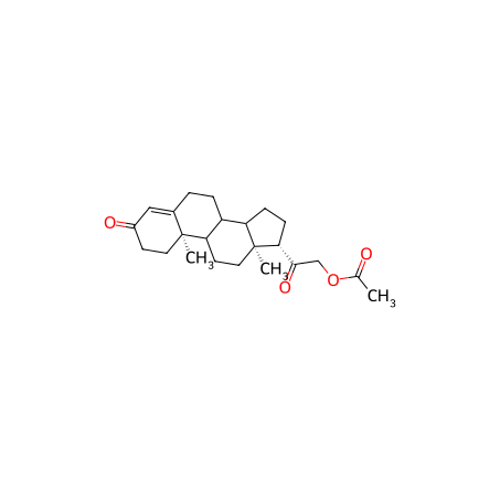 CC(=O)OCC(=O)[C@H]1CCC2C3CCC4=CC(=O)CC[C@]4(C)C3CC[C@@]21C